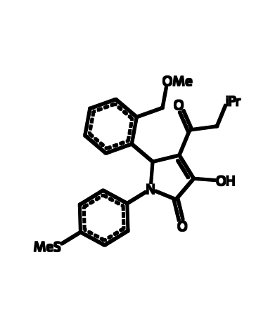 COCc1ccccc1C1C(C(=O)CC(C)C)=C(O)C(=O)N1c1ccc(SC)cc1